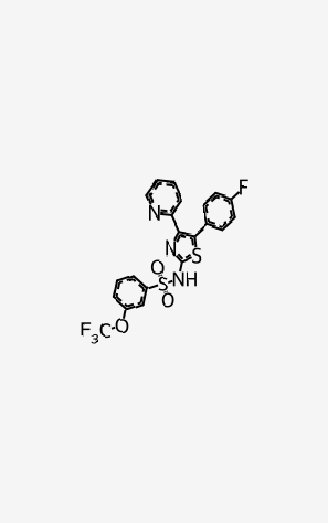 O=S(=O)(Nc1nc(-c2ccccn2)c(-c2ccc(F)cc2)s1)c1cccc(OC(F)(F)F)c1